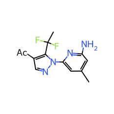 CC(=O)c1cnn(-c2cc(C)cc(N)n2)c1C(C)(F)F